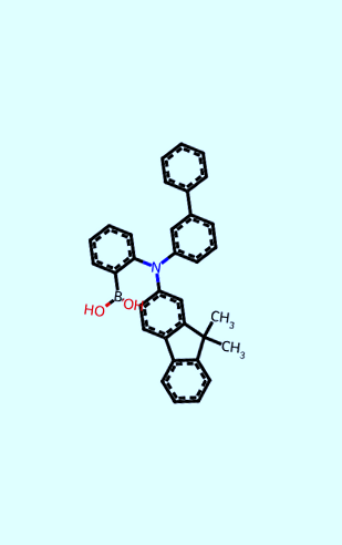 CC1(C)c2ccccc2-c2ccc(N(c3cccc(-c4ccccc4)c3)c3ccccc3B(O)O)cc21